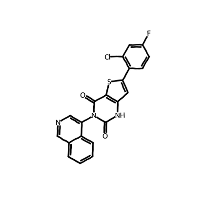 O=c1[nH]c2cc(-c3ccc(F)cc3Cl)sc2c(=O)n1-c1cncc2ccccc12